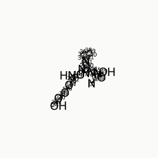 N#CC[C@H]1CN(c2nc(OC[C@@H]3C[C@@H](COCCOCCOCCO)CN3)nc3c2CCN(c2cccc4ccccc24)C3)CCN1C(=O)O